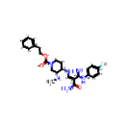 C=N[C@@H]1CN(C(=O)OCCc2ccccc2)CC[C@H]1N/C=C(\C(=N)Nc1ccc(F)cc1)C(N)=O